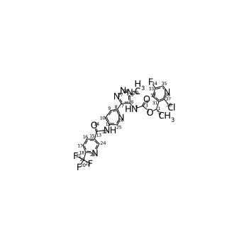 C[C@@H](OC(=O)Nc1c(-c2ccc(NC(=O)c3ccc(C(F)(F)F)nc3)cn2)nnn1C)c1cc(F)cnc1Cl